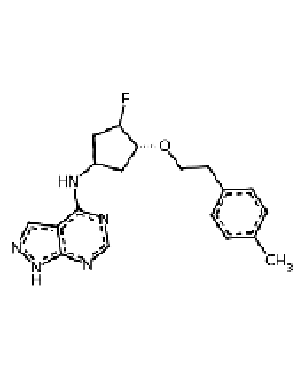 Cc1ccc(CCO[C@@H]2CC(Nc3ncnc4[nH]ncc34)CC2F)cc1